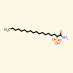 CCCCCCCCCCCCCCCCC(C(N)=O)S(=O)(=O)O